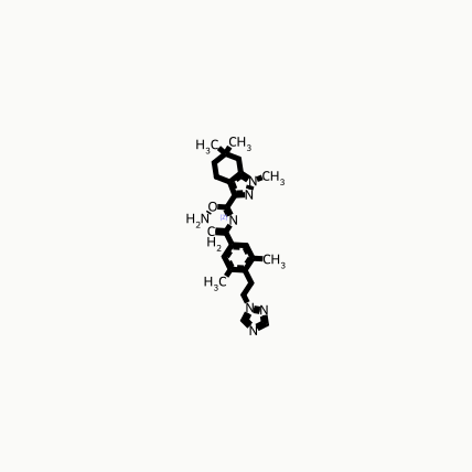 C=C(/N=C(\ON)c1nn(C)c2c1CCC(C)(C)C2)c1cc(C)c(CCn2cncn2)c(C)c1